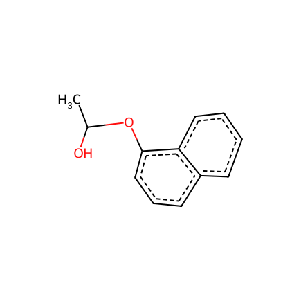 CC(O)Oc1cccc2ccccc12